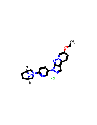 CCOc1ccc2c3cnn(-c4ccc(N5C[C@H]6CC[C@@H](C5)N6)nc4)c3nn2c1.Cl